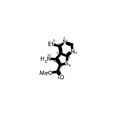 CCc1ncnc2sc(C(=O)OC)c(N)c12